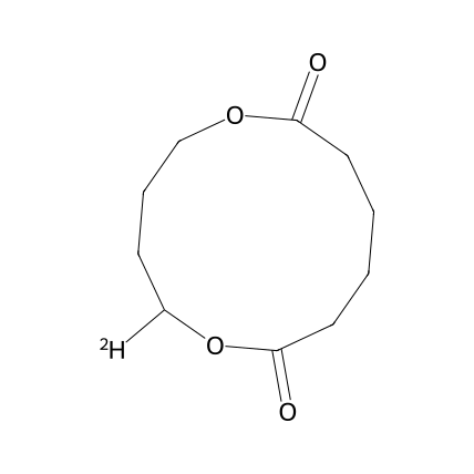 [2H]C1CCCOC(=O)CCCCC(=O)O1